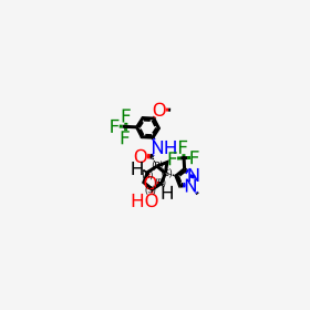 COc1cc(NC(=O)[C@]23C[C@@]2(c2cn(C)nc2C(F)(F)F)[C@H]2O[C@@H]3C[C@@H]2O)cc(C(F)(F)F)c1